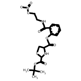 CC(C)(C)OC(=O)C1NC(C(=O)Oc2ccccc2C(=O)NCCO[N+](=O)[O-])CS1